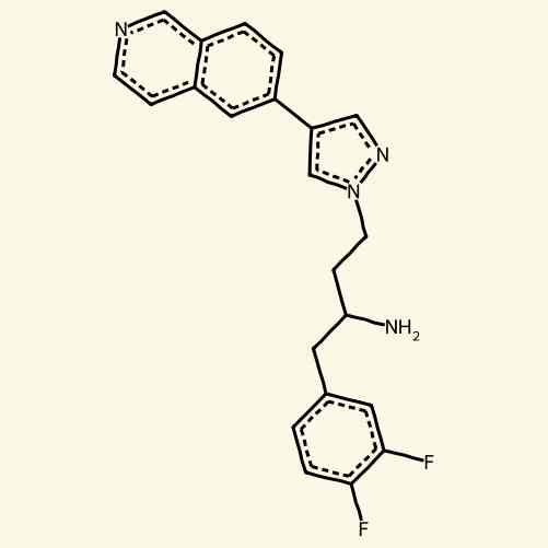 NC(CCn1cc(-c2ccc3cnccc3c2)cn1)Cc1ccc(F)c(F)c1